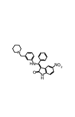 O=C1Nc2ccc([N+](=O)[O-])cc2C1=C(Nc1cccc(CN2CCCCC2)c1)c1ccccc1